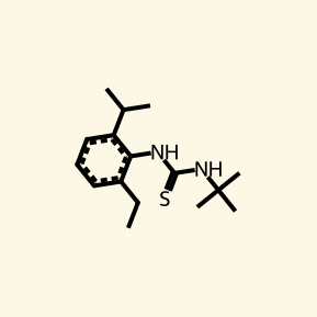 CCc1cccc(C(C)C)c1NC(=S)NC(C)(C)C